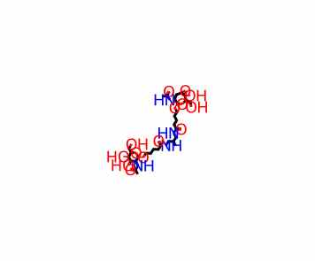 CC(=O)NC1CC2O[C@]2(O)C(CO)O[C@H]1OCCCCC(=O)NCC(C)CNC(=O)CCCCO[C@@H]1OC(CO)[C@H](O)C(O)C1NC(C)=O